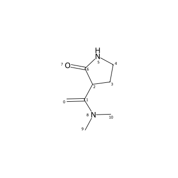 C=C(C1CCNC1=O)N(C)C